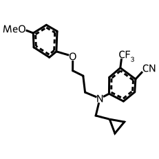 COc1ccc(OCCCN(CC2CC2)c2ccc(C#N)c(C(F)(F)F)c2)cc1